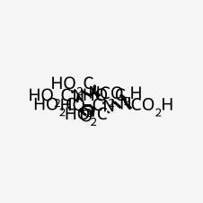 C1=COCCC1.O=C(O)CN(CCN(CC(=O)O)CC(=O)O)CC(=O)O.O=C(O)CN(CCN(CC(=O)O)CC(=O)O)CC(=O)O